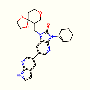 O=c1n(CC2COCCC23OCCO3)c2cc(-c3cnc4[nH]ccc4c3)cnc2n1C1=CCCCC1